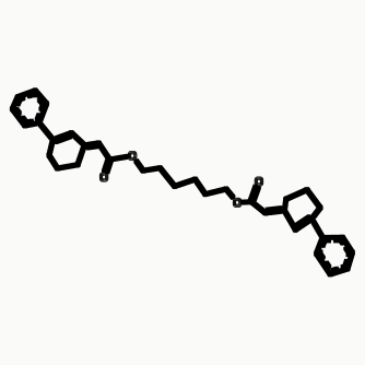 O=C(C=C1C=C(c2ccccc2)CCC1)OCCCCCCOC(=O)C=C1C=C(c2ccccc2)CCC1